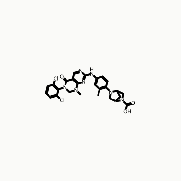 Cc1cc(Nc2ncc3c(n2)N(C)CN(c2c(Cl)cccc2Cl)C3=O)ccc1N1CC2CC1CN2C(=O)O